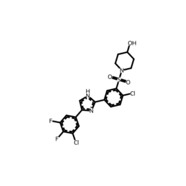 O=S(=O)(c1cc(-c2nc(-c3cc(F)c(F)c(Cl)c3)c[nH]2)ccc1Cl)N1CCC(O)CC1